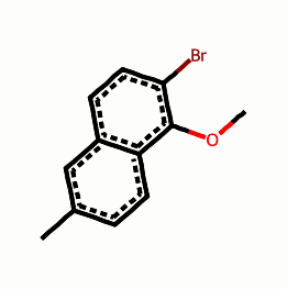 COc1c(Br)ccc2cc(C)ccc12